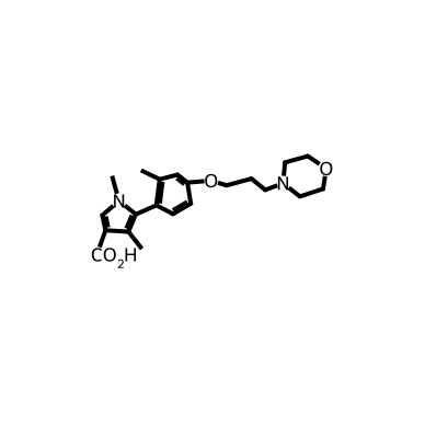 Cc1cc(OCCCN2CCOCC2)ccc1-c1c(C)c(C(=O)O)cn1C